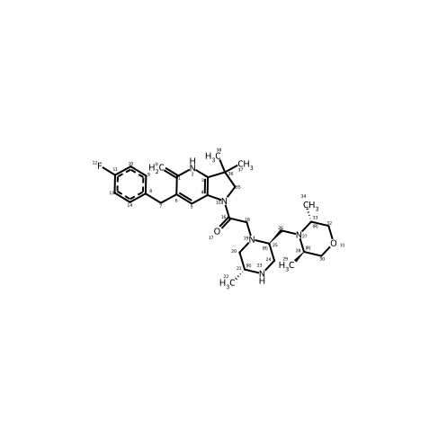 C=C1NC2=C(C=C1Cc1ccc(F)cc1)N(C(=O)CN1C[C@@H](C)NC[C@@H]1CN1[C@H](C)COC[C@H]1C)CC2(C)C